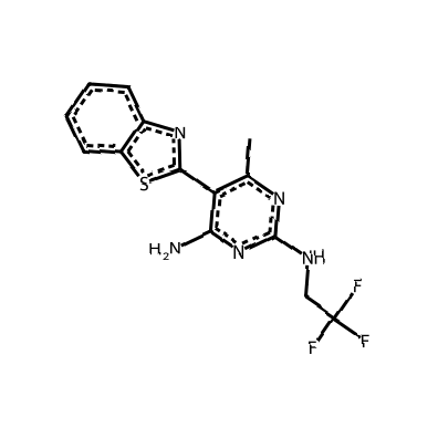 Cc1nc(NCC(F)(F)F)nc(N)c1-c1nc2ccccc2s1